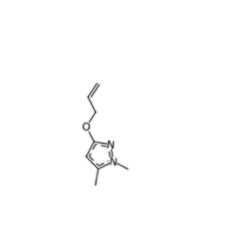 C=CCOc1cc(C)n(C)n1